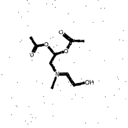 CC(=O)OC(CN(C)CCO)OC(C)=O